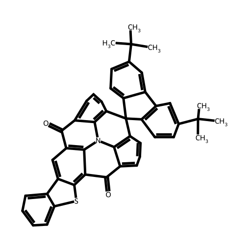 CC(C)(C)c1ccc2c(c1)-c1cc(C(C)(C)C)ccc1C21c2cccc3c(=O)c4cc5c6ccccc6sc5c5c(=O)c6cccc1c6n(c23)c45